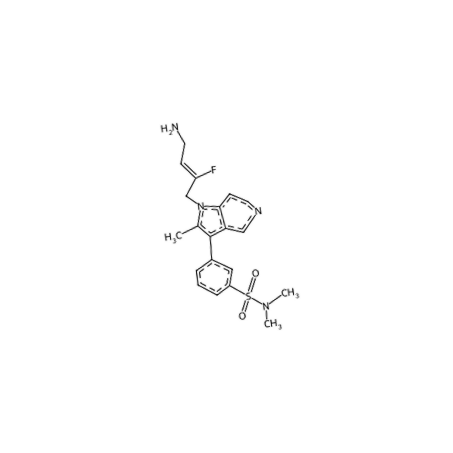 Cc1c(-c2cccc(S(=O)(=O)N(C)C)c2)c2cnccc2n1CC(F)=CCN